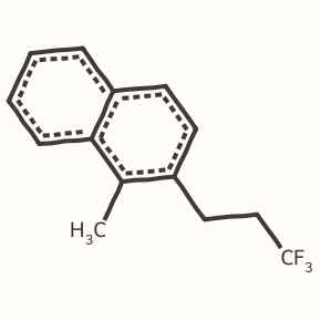 Cc1c(CCC(F)(F)F)ccc2ccccc12